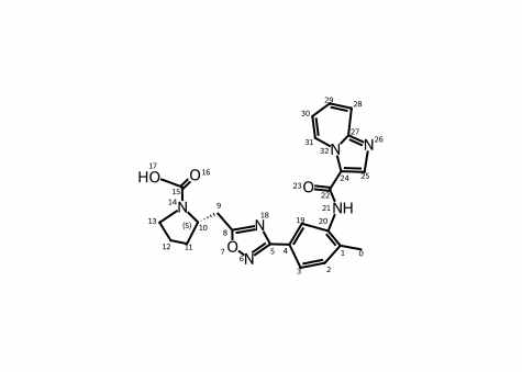 Cc1ccc(-c2noc(C[C@@H]3CCCN3C(=O)O)n2)cc1NC(=O)c1cnc2ccccn12